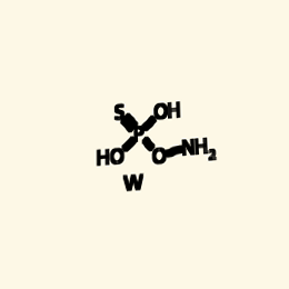 NOP(O)(O)=S.[W]